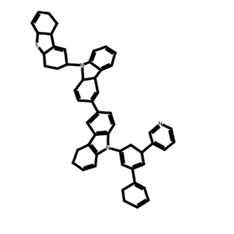 C1=CCCC(C2=CC(c3cccnc3)CC(n3c4c(c5cc(C6=CC7c8ccccc8N(C8C=C9C(CC8)SC8C=CCCC98)C7C=C6)ccc53)CCC=C4)=C2)=C1